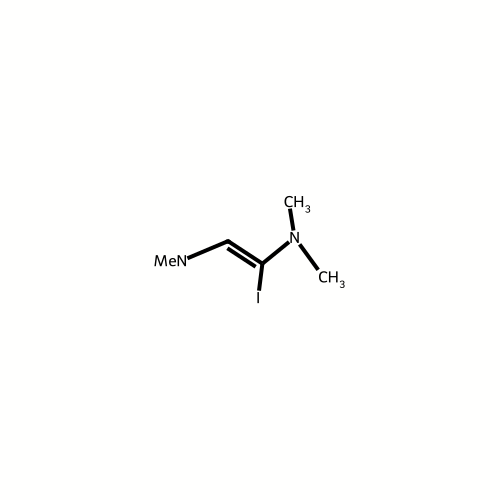 CN/C=C(\I)N(C)C